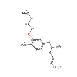 CCOC(=O)C=CCC(Cc1ccc(OC)c(OCCCOC)c1)C(C)C